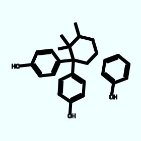 CC1CCCC(c2ccc(O)cc2)(c2ccc(O)cc2)C1(C)C.Oc1ccccc1